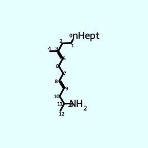 CCCCCCCCCC(C)=CCCC=CCC(C)N